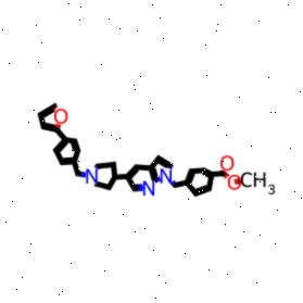 COC(=O)c1ccc(Cn2ccc3cc(C4CCN(Cc5ccc(-c6ccco6)cc5)CC4)cnc32)cc1